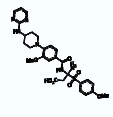 COc1ccc(S(=O)(=O)C(N)(CC(=O)O)NC(=O)c2ccc(N3CCC(Nc4ncccn4)CC3)c(OC)c2)cc1